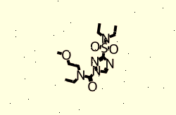 CCN(CCOC)C(=O)n1cnc(S(=O)(=O)N(CC)CC)n1